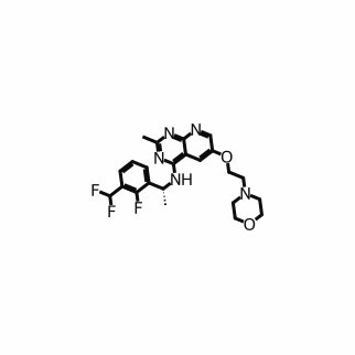 Cc1nc(N[C@H](C)c2cccc(C(F)F)c2F)c2cc(OCCN3CCOCC3)cnc2n1